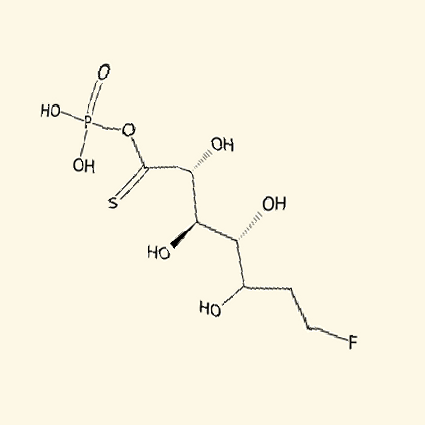 O=P(O)(O)OC(=S)[C@H](O)[C@H](O)[C@H](O)C(O)CCF